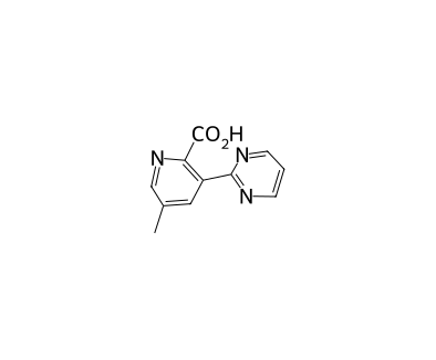 Cc1cnc(C(=O)O)c(-c2ncccn2)c1